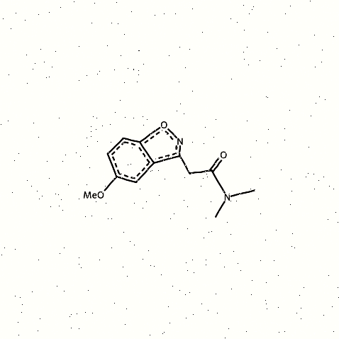 COc1ccc2onc(CC(=O)N(C)C)c2c1